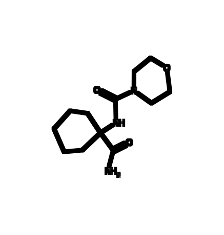 NC(=O)C1(NC(=O)N2CCOCC2)CCCCC1